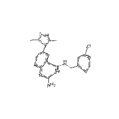 Cc1noc(C)c1-c1ccc2nc(N)nc(NCc3cccc(Cl)c3)c2c1